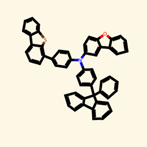 c1ccc(C2(c3ccc(N(c4ccc(-c5cccc6c5sc5ccccc56)cc4)c4ccc5oc6ccccc6c5c4)cc3)c3ccccc3-c3ccccc32)cc1